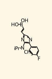 CC(C)N(C)c1nc(/C=C/B(O)O)cnc1-c1ccc(F)cc1